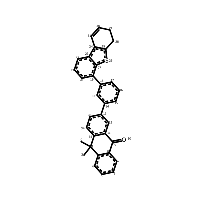 CC1(C)c2ccccc2C(=O)c2cc(-c3cccc(-c4cccc5c6c(sc45)CCC=C6)c3)ccc21